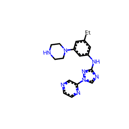 CCc1cc(Nc2ncn(-c3cnccn3)n2)cc(N2CCNCC2)c1